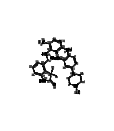 CCN1CCN(c2ccc(Nc3ncc(C(F)(F)F)c(NCc4cccc5c4C(C)(C)C(=O)N5)n3)c(OC)c2)CC1